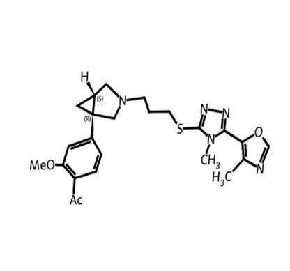 COc1cc([C@@]23C[C@@H]2CN(CCCSc2nnc(-c4ocnc4C)n2C)C3)ccc1C(C)=O